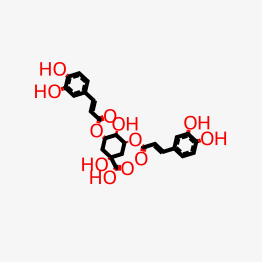 O=C(/C=C/c1ccc(O)c(O)c1)OC1C[C@@](O)(C(=O)O)C[C@@H](OC(=O)/C=C/c2ccc(O)c(O)c2)[C@@H]1O